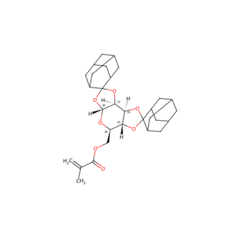 C=C(C)C(=O)OC[C@H]1O[C@@H]2OC3(O[C@H]2[C@H]2OC4(O[C@@H]21)C1CC2CC(C1)CC4C2)C1CC2CC(C1)CC3C2